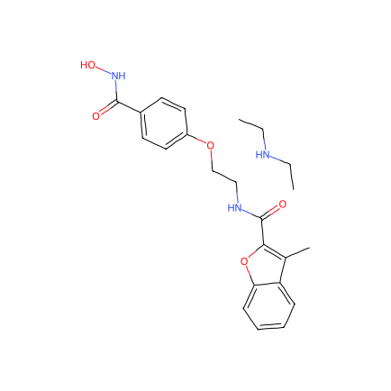 CCNCC.Cc1c(C(=O)NCCOc2ccc(C(=O)NO)cc2)oc2ccccc12